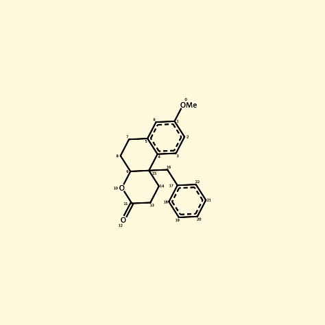 COc1ccc2c(c1)CCC1OC(=O)CCC21Cc1ccccc1